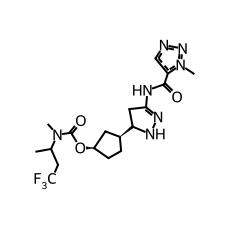 CC(CC(F)(F)F)N(C)C(=O)O[C@@H]1CC[C@H](C2CC(NC(=O)c3cnnn3C)=NN2)C1